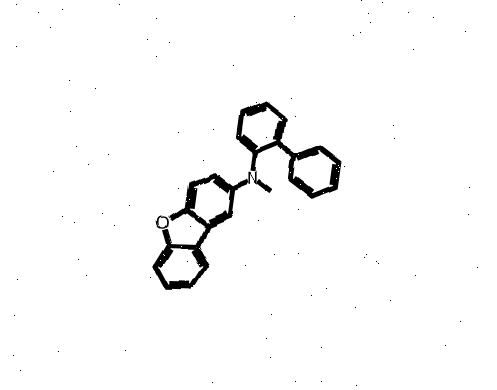 CN(c1ccc2oc3ccccc3c2c1)c1ccccc1-c1ccccc1